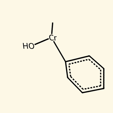 [CH3][Cr]([OH])[c]1ccccc1